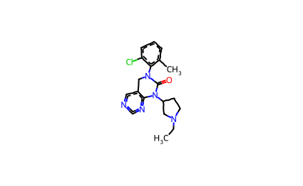 CCN1CCC(N2C(=O)N(c3c(C)cccc3Cl)Cc3cncnc32)C1